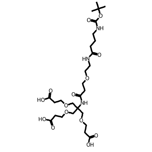 CC(C)(C)OC(=O)NCCCC(=O)NCCOCCC(=O)NC(COCCC(=O)O)(COCCC(=O)O)COCCC(=O)O